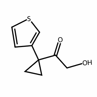 O=C(CO)C1(c2ccsc2)CC1